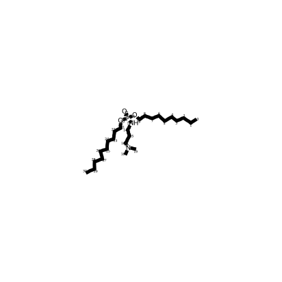 CCCCCCCCCCOP(=O)(NCCCN(C)C)OCCCCCCCCCC